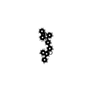 c1ccc(-c2cc3oc4ccc(-c5ccc(N(c6ccccc6)c6cccc7c6oc6ccccc67)cc5)cc4c3c3ccccc23)cc1